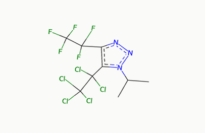 CC(C)n1nnc(C(F)(F)C(F)(F)F)c1C(Cl)(Cl)C(Cl)(Cl)Cl